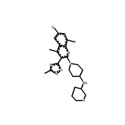 Cc1noc(-c2c(N3CCC(NC4CCCOC4)CC3)nc3c(F)cc(Cl)cc3c2C)n1